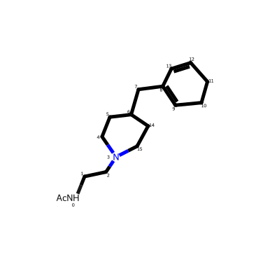 CC(=O)NCCN1CCC(CC2=CCCC=C2)CC1